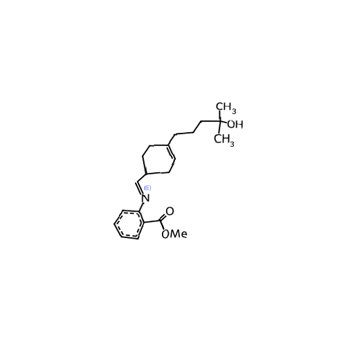 COC(=O)c1ccccc1/N=C/C1CC=C(CCCC(C)(C)O)CC1